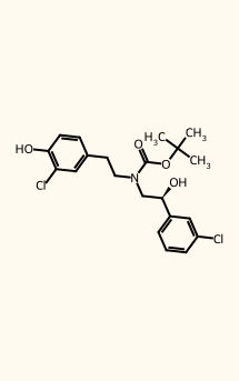 CC(C)(C)OC(=O)N(CCc1ccc(O)c(Cl)c1)C[C@@H](O)c1cccc(Cl)c1